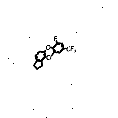 Fc1cc(C(F)(F)F)cc(Cl)c1Oc1ccc2c(c1)CCC2